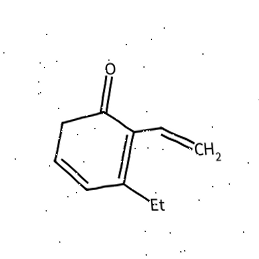 C=CC1=C(CC)C=CCC1=O